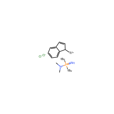 CN(C)P(=N)(C(C)(C)C)C(C)(C)C.[Cl-].[Cl-].[Ti+2][CH]1C=Cc2ccccc21